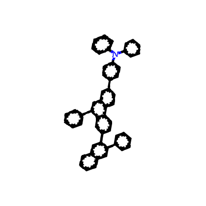 c1ccc(-c2cc3ccccc3cc2-c2ccc3c(c2)c(-c2ccccc2)cc2cc(-c4ccc(N(c5ccccc5)c5ccccc5)cc4)ccc23)cc1